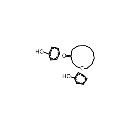 O=C1CCCCCCCCCCC1.Oc1ccccc1.Oc1ccccc1